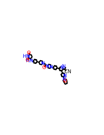 N#Cc1cnn2cc(-c3ccc(N4CCN(C(=O)CN5CCC(c6ccc(NC7CCC(=O)NC7=O)cc6)CC5)CC4)cc3)cc(-c3ccc(N4CC5CCC(C4)O5)nc3)c12